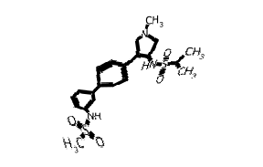 CC(C)S(=O)(=O)NC1CN(C)CC1c1ccc(-c2cccc(NS(C)(=O)=O)c2)cc1